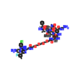 CC[C@H](C)[C@@H]([C@@H](CC(=O)N1CCC[C@H]1C[C@@H](C)C(=O)N[C@H](C)[C@@H](O)c1ccccc1)OC)N(C)C(=O)[C@@H](NC(=O)[C@H](C(C)C)N(C)C(=O)OCc1ccc(NC(=O)[C@H](C)NC(=O)[C@@H](NC(=O)CCOCCOCCOCCOCCC(=O)NCCNc2ncc(-c3cc(C)cc(F)c3)c(N3CCC(N)CC3)c2-c2nc3ccc(Cl)cc3[nH]2)C(C)C)cc1C(=O)NCCN)C(C)C